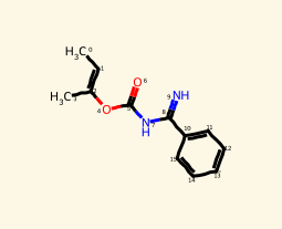 CC=C(C)OC(=O)NC(=N)c1cc[c]cc1